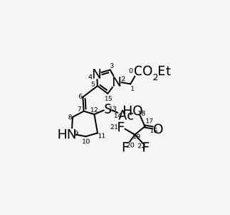 CCOC(=O)Cn1cnc(C=C2CNCCC2SC(C)=O)c1.O=C(O)C(F)(F)F